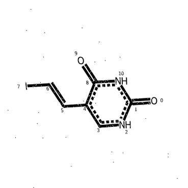 O=c1[nH]cc(/C=C/I)c(=O)[nH]1